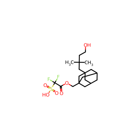 CC(C)(CCO)CC12CC3CC(CC(COC(=O)C(F)(F)S(=O)(=O)O)(C3)C1)C2